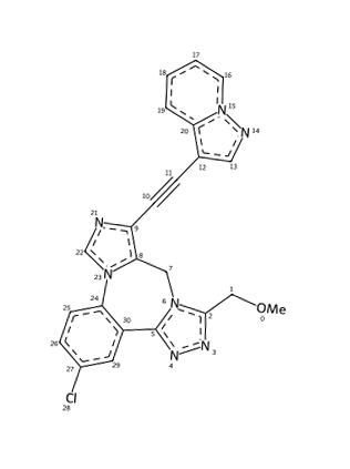 COCc1nnc2n1Cc1c(C#Cc3cnn4ccccc34)ncn1-c1ccc(Cl)cc1-2